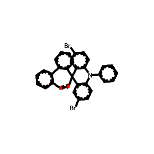 Brc1ccc2c(c1)C1(c3ccccc3-c3ccccc3-c3ccccc31)c1cc(Br)ccc1N2c1ccccc1